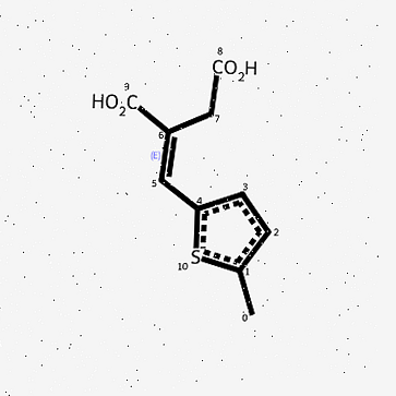 Cc1ccc(/C=C(\CC(=O)O)C(=O)O)s1